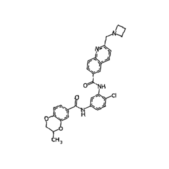 CC1COc2ccc(C(=O)Nc3ccc(Cl)c(NC(=O)c4ccc5nc(CN6CCC6)ccc5c4)c3)cc2O1